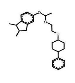 CC(OCCOC1CCC(c2ccccc2)CC1)Oc1ccc2c(c1)CC(C)C2C